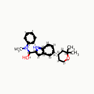 CN(c1ccccc1)C(O)c1cc2cc([C@H]3CCOC(C)(C)C3)ccc2[nH]1